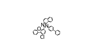 Clc1ccc(-c2nc3ccc4ccccc4c3n2-c2ccc(-c3ccccc3)cc2)c2oc3ccccc3c12